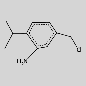 CC(C)c1ccc(CCl)cc1N